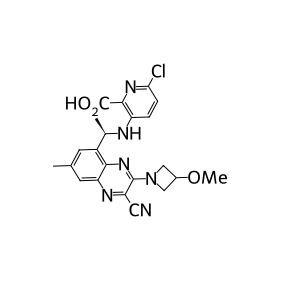 COC1CN(c2nc3c([C@@H](C)Nc4ccc(Cl)nc4C(=O)O)cc(C)cc3nc2C#N)C1